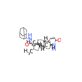 CC1C[C@H]2[C@@H]3CC[C@H]4NC(=O)C=C[C@]4(C)[C@H]3CC[C@]2(C)[C@H]1C(=O)NC1C2CC3CC(C2)CC1C3